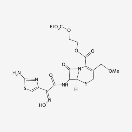 CCOC(=O)OCCOC(=O)C1=C(COC)CS[C@H]2C(NC(=O)C(=NO)c3csc(N)n3)C(=O)N12